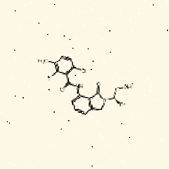 Cc1ccc(Cl)c(C(=O)Nc2cccc3c2C(=O)N([C@@H](CO)C(C)C)C3)c1F